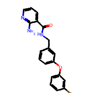 Nc1ncccc1C(=O)NCc1cccc(Oc2cccc(Br)c2)c1